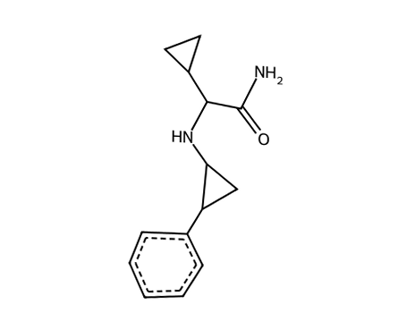 NC(=O)C(NC1CC1c1ccccc1)C1CC1